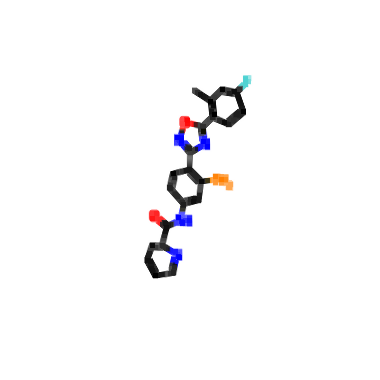 Cc1cc(F)ccc1-c1nc(-c2ccc(NC(=O)c3ccccn3)cc2P)no1